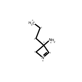 CCCC1(N)C=NC1